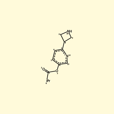 CC(C)C(=O)Oc1ccc(C2CNC2)nc1